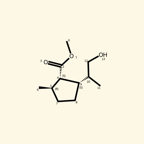 COC(=O)[C@H]1[C@H](C)CC[C@H]1C(C)CO